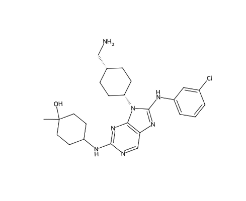 CC1(O)CCC(Nc2ncc3nc(Nc4cccc(Cl)c4)n([C@H]4CC[C@@H](CN)CC4)c3n2)CC1